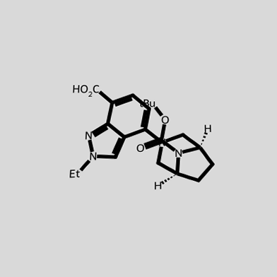 CCn1cc2c(N3C[C@H]4CC[C@@H](C3)N4C(=O)OC(C)(C)C)ccc(C(=O)O)c2n1